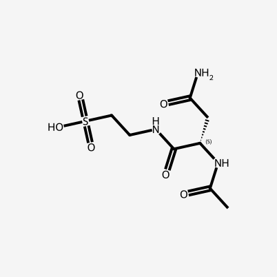 CC(=O)N[C@@H](CC(N)=O)C(=O)NCCS(=O)(=O)O